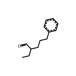 CCC(C=O)CCCc1ccccc1